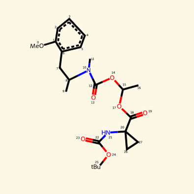 COc1ccccc1CC(C)N(C)C(=O)OC(C)OC(=O)C1(NC(=O)OC(C)(C)C)CC1